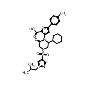 Cc1ccc(-c2cc(N3C(=O)CN(S(=O)(=O)c4cnn(CC(C)C)c4)CC3C3CCCCC3)c(C(=O)O)s2)cc1